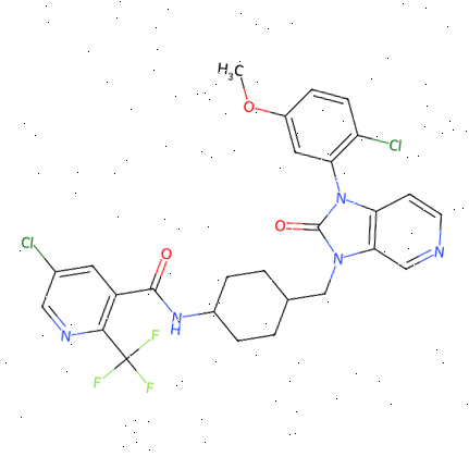 COc1ccc(Cl)c(-n2c(=O)n(CC3CCC(NC(=O)c4cc(Cl)cnc4C(F)(F)F)CC3)c3cnccc32)c1